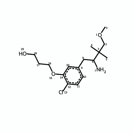 COCC(C)(C)C(N)Cc1ccc(Cl)c(OCCCO)c1